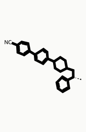 C[C@@H](CC1CCC(c2ccc(-c3ccc(C#N)cc3)cc2)CC1)c1ccccc1